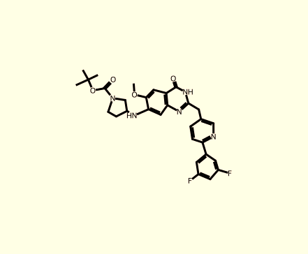 COc1cc2c(=O)[nH]c(Cc3ccc(-c4cc(F)cc(F)c4)nc3)nc2cc1NC1CCN(C(=O)OC(C)(C)C)C1